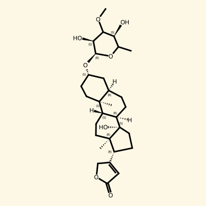 COC1[C@@H](O)C(C)O[C@@H](O[C@H]2CC[C@@]3(C)[C@H](CC[C@@H]4[C@@H]3CC[C@]3(C)[C@@H](C5=CC(=O)OC5)CC[C@]43O)C2)[C@H]1O